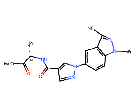 COC(=O)[C@@H](NC(=O)c1cnn(-c2ccc3c(c2)c(C#N)nn3C(C)C)c1)C(C)C